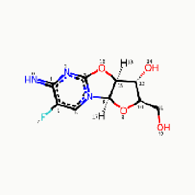 N=c1nc2n(cc1F)[C@@H]1O[C@H](CO)[C@@H](O)[C@@H]1O2